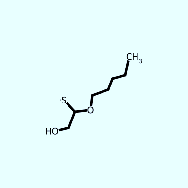 CCCCCOC([S])CO